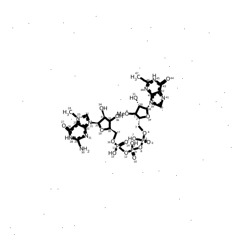 COC1[C@@H](COP(=O)(O)OP(=O)(O)OP(=O)(O)OC[C@H]2O[C@@H](n3c[n+](C)c4c(=O)[nH]c(N)nc43)[C@@H](O)C2O)O[C@@H](n2cnc3c(=O)[nH]c(C)nc32)[C@H]1O